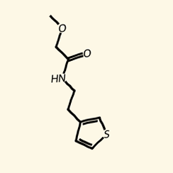 COCC(=O)NCCc1ccsc1